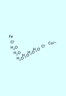 O.O.O.O.O.O.[Cl-].[Cl-].[Co+2].[Fe]